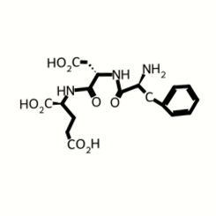 N[C@@H](Cc1ccccc1)C(=O)N[C@@H](CC(=O)O)C(=O)N[C@@H](CCC(=O)O)C(=O)O